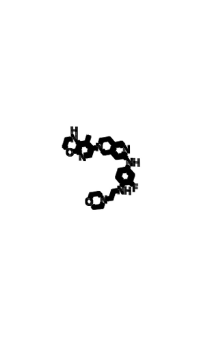 Cc1c(N2CCc3cnc(Nc4ccc(NCCN5CCOCC5)c(F)c4)cc3C2)cnc2c1NCCO2